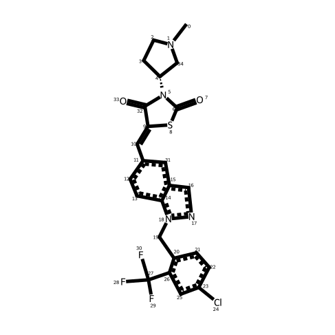 CN1CC[C@@H](N2C(=O)SC(=Cc3ccc4c(cnn4Cc4ccc(Cl)cc4C(F)(F)F)c3)C2=O)C1